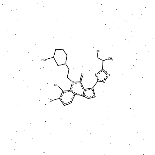 CC(CO)c1nc(-c2ncn3c2c(=O)n(CCN2CCCC(O)C2)c2c(C#N)c(Cl)ccc23)no1